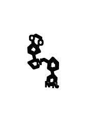 Cn1cc(-c2cccc(CN3CCCC3c3ccc4c(c3)OCCO4)c2)cn1